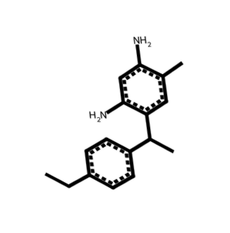 CCc1ccc(C(C)c2cc(C)c(N)cc2N)cc1